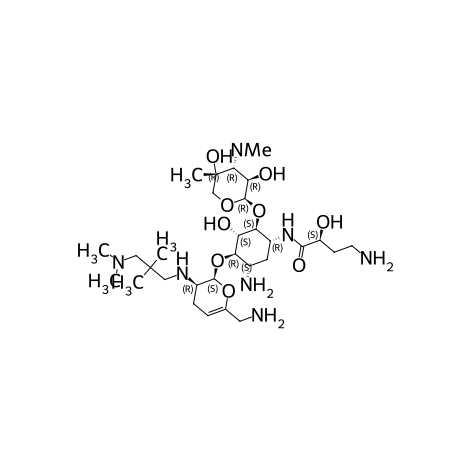 CN[C@@H]1[C@@H](O)[C@@H](O[C@@H]2[C@@H](O)[C@H](O[C@H]3OC(CN)=CC[C@H]3NCC(C)(C)CN(C)C)[C@@H](N)C[C@H]2NC(=O)[C@@H](O)CCN)OC[C@]1(C)O